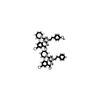 COc1ccc(CCn2nc(N3CCCCCC3)n3c4ccc(Cl)cc4c(=O)nc23)cc1.O=c1nc2n(CCc3ccccc3)nc(N3CCCCCC3)n2c2ccc(Cl)cc12